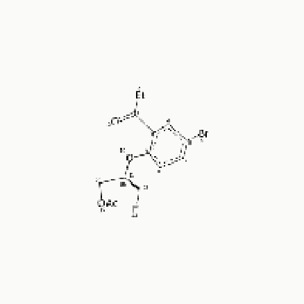 CCC(=O)c1cc(Br)ccc1O[C@@H](CF)COC(C)=O